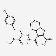 CCOC(=O)C(CCc1ccc(Cl)cc1)N[C@@H](C)C(=O)N1C(C(=O)O)CC2CCCCC21